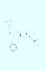 CC(C)C(C(=O)C(F)(F)C(F)(F)C(F)(F)C(F)(F)F)N1Cc2ccccc2CC1C(=O)NC(=O)[C@@H](NC(=O)OC(C)(C)C)C(C)C